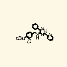 CC(C)(C)c1ccc(CNc2nc(-c3ccccn3)nnc2-c2ccccc2)cc1Cl